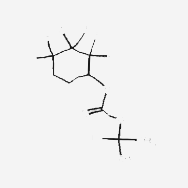 CC(C)(C)OC(=O)O[C]1CCC(F)(F)C(F)(F)C1(F)F